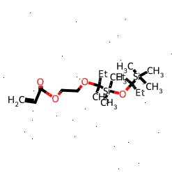 C=CC(=O)OCCOC(C)(CC)[Si](C)(C)OC(CC)(CC)[Si](C)(C)C